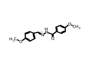 COc1ccc(/C=N/NC(=O)c2ccc(OC)cc2)cc1